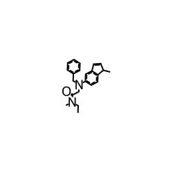 CCN(C)C(=O)CN(Cc1ccccc1)c1ccc2c(c1)C=CC2C